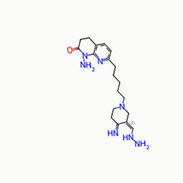 N=C1CCN(CCCCCc2ccc3c(n2)N(N)C(=O)CC3)C/C1=C/NN